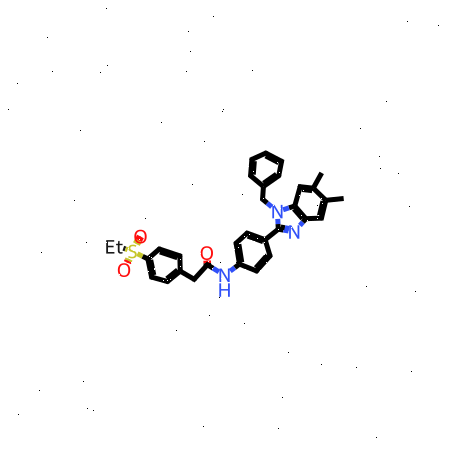 CCS(=O)(=O)c1ccc(CC(=O)Nc2ccc(-c3nc4cc(C)c(C)cc4n3Cc3ccccc3)cc2)cc1